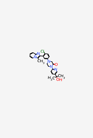 Cc1c(-c2cc(N3CCN(c4ccc(C(C)(C)O)cn4)C(=O)C3)ccc2Cl)nc2ccccn12